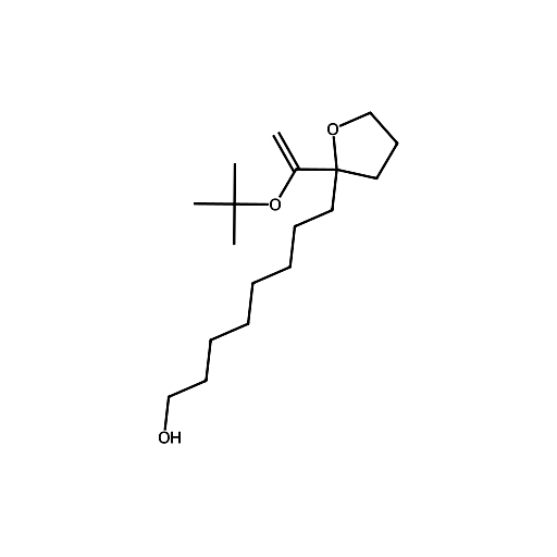 C=C(OC(C)(C)C)C1(CCCCCCCCO)CCCO1